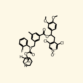 COc1ccc(C(Cc2c(Cl)c[n+]([O-])cc2Cl)OC(=O)c2cc(C)cc(CN(C(=O)O[C@H]3CN4CCC3CC4)c3ccccc3F)c2)cc1OC